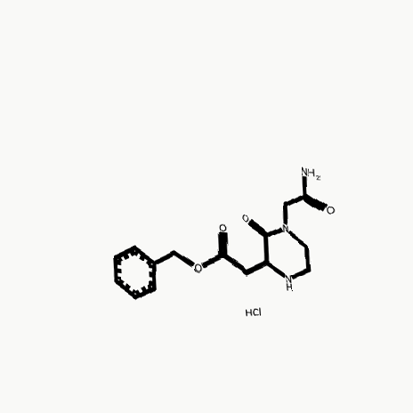 Cl.NC(=O)CN1CCNC(CC(=O)OCc2ccccc2)C1=O